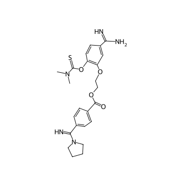 CN(C)C(=S)Oc1ccc(C(=N)N)cc1OCCOC(=O)c1ccc(C(=N)N2CCCC2)cc1